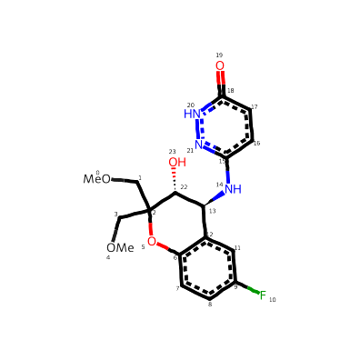 COCC1(COC)Oc2ccc(F)cc2[C@H](Nc2ccc(=O)[nH]n2)[C@H]1O